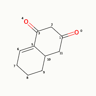 O=C1CC(=O)C2=CCCCC2C1